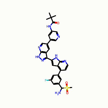 CC(C)(C)C(=O)Nc1cncc(-c2cnc3[nH]nc(-c4cc5c(-c6cc(F)cc(C(N)S(C)(=O)=O)c6)ccnc5[nH]4)c3c2)c1